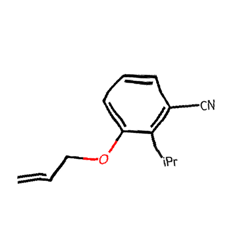 C=CCOc1cccc(C#N)c1C(C)C